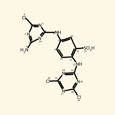 Nc1nc(Cl)nc(Nc2ccc(Nc3nc(Cl)nc(Cl)n3)c(S(=O)(=O)O)c2)n1